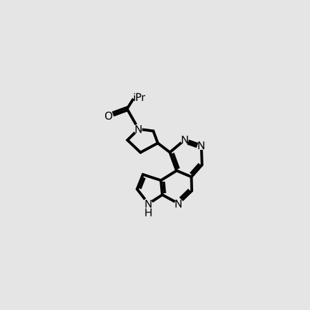 CC(C)C(=O)N1CCC(c2nncc3cnc4[nH]ccc4c23)C1